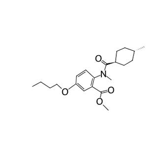 CCCCOc1ccc(N(C)C(=O)[C@H]2CC[C@H](C)CC2)c(C(=O)OC)c1